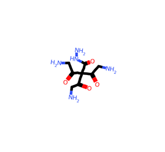 NCC(=O)C(C(=O)CN)(C(=O)CN)C(=O)NN